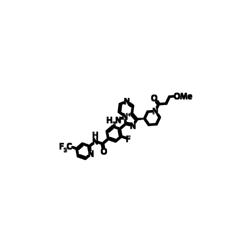 COCCC(=O)N1CCC[C@@H](C2=C3C=NC=C[N+]3(N)C(c3ccc(C(=O)Nc4cc(C(F)(F)F)ccn4)cc3F)=N2)C1